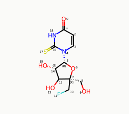 O=c1ccn([C@@H]2O[C@@](CO)(CF)C(O)[C@@H]2O)c(=S)[nH]1